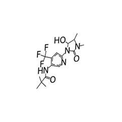 CC1C(O)N(c2cc(C(F)(F)F)c(NC(=O)C(C)(C)C)cn2)C(=O)N1C